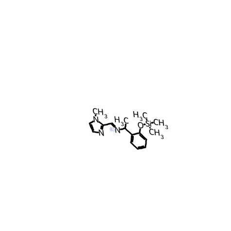 CC(/N=C/c1nccn1C)c1ccccc1O[Si](C)(C)C